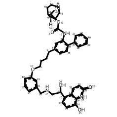 O=C(Nc1cc(CCCCOc2cccc(CNCC(O)c3ccc(O)c4[nH]c(=O)ccc34)c2)ccc1-c1ccccc1)O[C@H]1CN2CCC1CC2